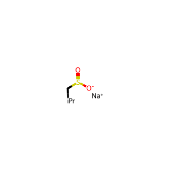 CC(C)CS(=O)[O-].[Na+]